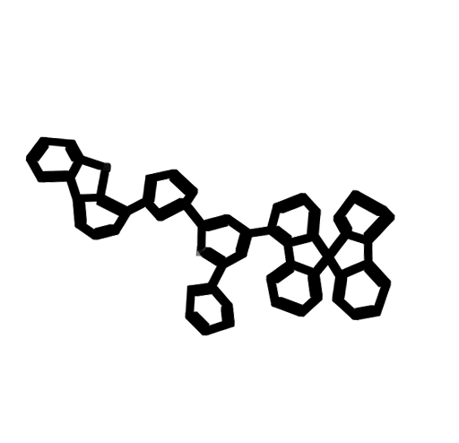 c1ccc(-c2cc(-c3cccc4c3-c3ccccc3C43c4ccccc4-c4ccccc43)cc(-c3cccc(-c4cccc5c4oc4ccccc45)c3)n2)cc1